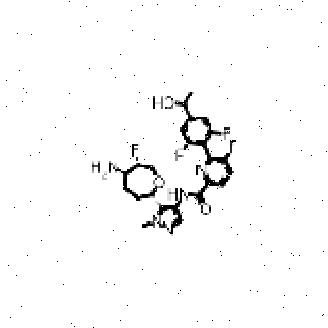 CC(O)c1cc(F)c(-c2nc(C(=O)Nc3cnn(C)c3[C@@H]3CC[C@@H](N)[C@H](F)CO3)ccc2F)c(F)c1